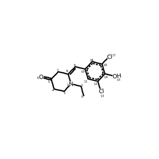 CCN1CCC(=O)CC1=Cc1cc(Cl)c(O)c(Cl)c1